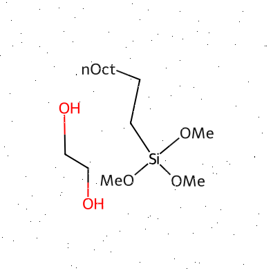 CCCCCCCCCC[Si](OC)(OC)OC.OCCO